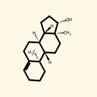 C[C@]12CC[C@H]3[C@@H](CCC4=CCCC[C@@]43C)[C@@H]1CC[C@@H]2O